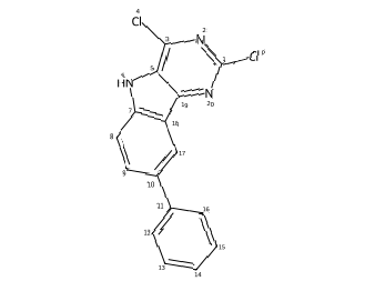 Clc1nc(Cl)c2[nH]c3ccc(-c4ccccc4)cc3c2n1